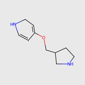 [C]1=CNCC=C1OCC1CCNC1